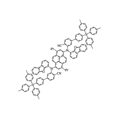 Cc1ccc([Si](c2ccc(C)cc2)(c2ccc(C)cc2)c2ccc(-c3ccc(C#N)c(N(c4cc(C(C)C)c5ccc6c(N(c7cc(-c8ccc([Si](c9ccc(C)cc9)(c9ccc(C)cc9)c9ccc(C)cc9)cc8)ccc7C#N)c7cccc8c7oc7ccccc78)cc(C(C)C)c7ccc4c5c76)c4cccc5c4oc4ccccc45)c3)cc2)cc1